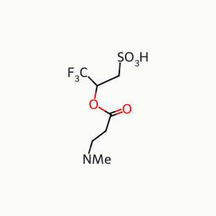 CNCCC(=O)OC(CS(=O)(=O)O)C(F)(F)F